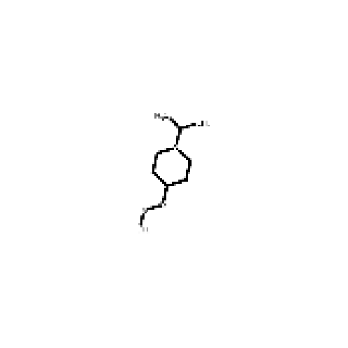 CSOC1CCN(C(C)C)CC1